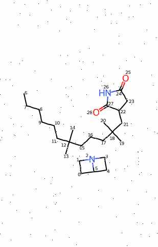 C1CN2CCC12.CCCCCCC(C)(C)CCCC(C)(C)CC1CC(=O)NC1=O